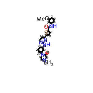 COc1cccc(NC(=O)c2ccc(-c3ccnc(Nc4cccc(N5CCN(C)CC5=O)c4)n3)s2)c1